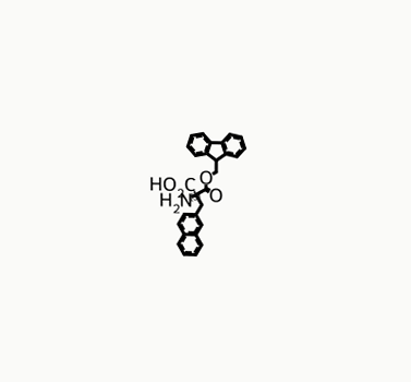 N[C@@](Cc1ccc2ccccc2c1)(C(=O)O)C(=O)OCC1c2ccccc2-c2ccccc21